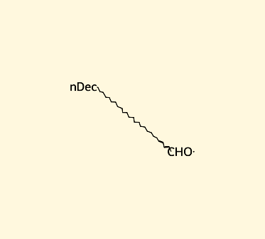 CCCCCCCCCCCCCCCCCCCCCCCCCCCCCCCC=CC=C[C]=O